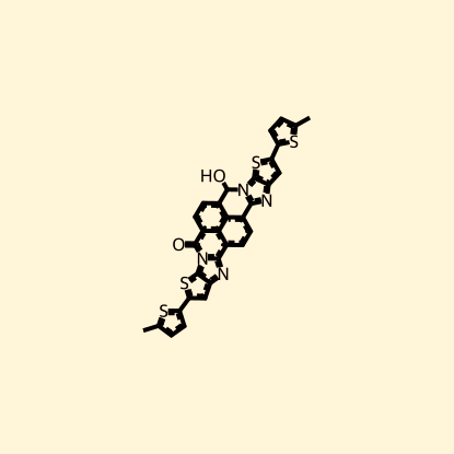 Cc1ccc(-c2cc3nc4n(c3s2)C(O)c2ccc3c(=O)n5c(nc6cc(-c7ccc(C)s7)sc65)c5ccc-4c2c35)s1